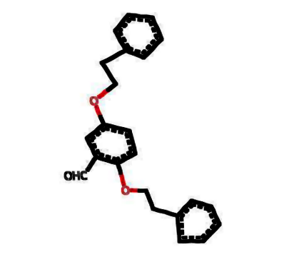 O=Cc1cc(OCCc2ccccc2)ccc1OCCc1ccccc1